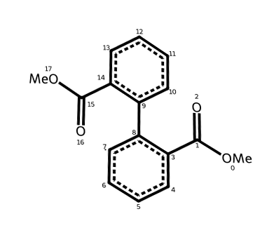 COC(=O)c1ccc[c]c1-c1ccccc1C(=O)OC